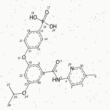 Cc1ccc(NC(=O)c2cc(Oc3ccc(P(=O)(O)O)cc3)cc(OC(C)C)c2)nc1